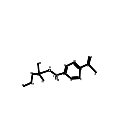 C=C(C)c1ccc([SiH2]OC(C)(C)CCC)cc1